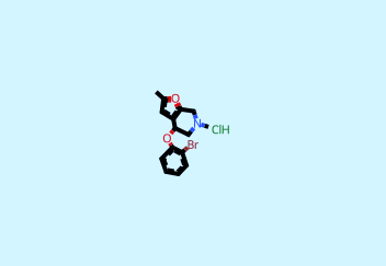 Cc1cc2c(o1)CN(C)CC2Oc1ccccc1Br.Cl